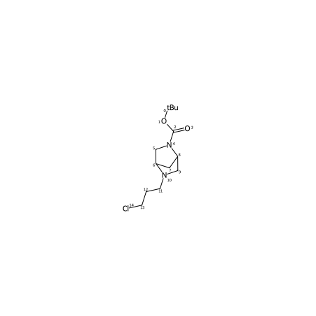 CC(C)(C)OC(=O)N1CC2CC1CN2CCCCl